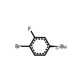 CC[C@H](C)c1ccc(Br)c(F)c1